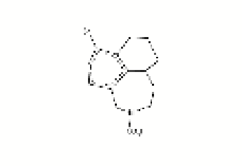 O=C(O)N1CCC2CCCc3c(Br)ccc(c32)C1